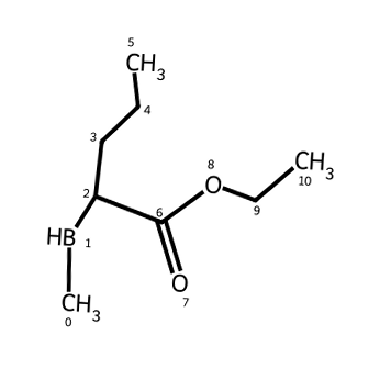 CBC(CCC)C(=O)OCC